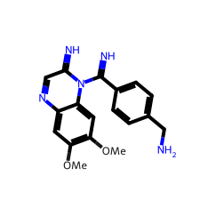 COc1cc2ncc(=N)n(C(=N)c3ccc(CN)cc3)c2cc1OC